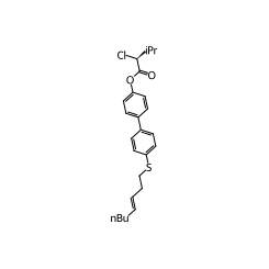 CCCCC=CCCSc1ccc(-c2ccc(OC(=O)[C@@H](Cl)C(C)C)cc2)cc1